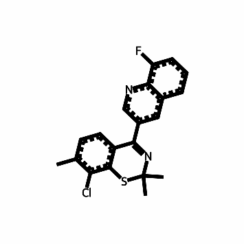 Cc1ccc2c(c1Cl)SC(C)(C)N=C2c1cnc2c(F)cccc2c1